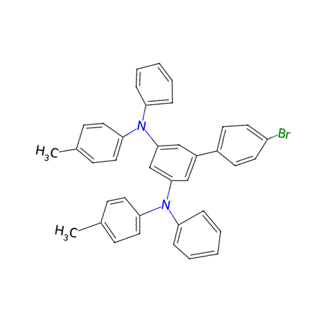 Cc1ccc(N(c2ccccc2)c2cc(-c3ccc(Br)cc3)cc(N(c3ccccc3)c3ccc(C)cc3)c2)cc1